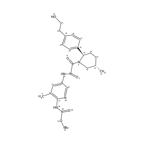 Cc1cc(NC(=O)C(=O)N2C[C@@H](C)CC[C@@H]2c2ccc(CCO)cc2)cnc1NC(=O)OC(C)(C)C